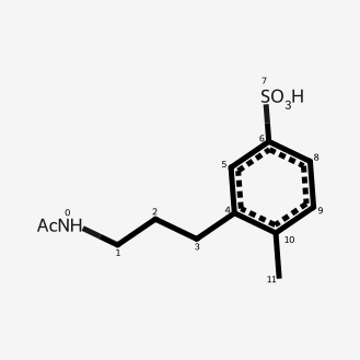 CC(=O)NCCCc1cc(S(=O)(=O)O)ccc1C